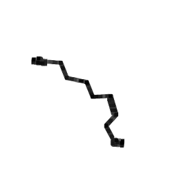 CCCCCCCC/C=C\CO